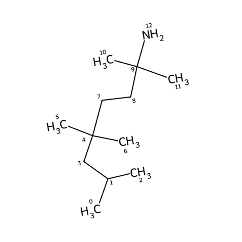 CC(C)CC(C)(C)CCC(C)(C)N